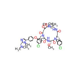 COC[C@@H]1NC(=O)[C@H](C)N(Cc2ccc(Cl)cc2Oc2ccc(-c3cnc(CN(C)C)n3C)cc2)C(=O)C[C@@H](OC)C(=O)N(C)[C@@H](C)CNC(=O)C[C@H](Cc2ccc(Cl)cc2)N(C)C1=O